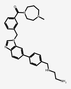 CN1CCCN(C(=O)c2cccc(Cn3cnc4ccc(-c5ccc(CNCCN)cc5)cc43)c2)CC1